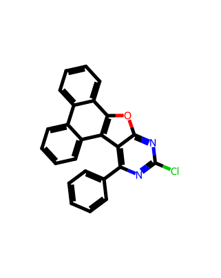 Clc1nc(-c2ccccc2)c2c(n1)oc1c3ccccc3c3ccccc3c12